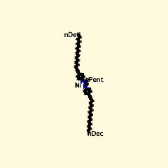 CCCCCCCCCCCCCCCCCCCCCCCCC#Cc1ccc(N=CC(CCCCC)=Nc2ccc(C#CCCCCCCCCCCCCCCCCCCCCCCCC)cc2)cc1.[Ni]